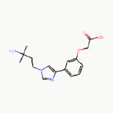 CC(C)(N)CCn1cnc(-c2cccc(OCC(=O)O)c2)c1